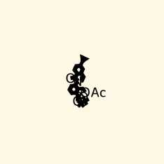 CC(=O)OCc1c(B2OC(C)(C)C(C)(C)O2)cccc1-n1ccc2cc(C3CC3)ccc2c1=O